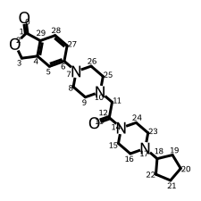 O=C1OCc2cc(N3CCN(CC(=O)N4CCN(C5CCCC5)CC4)CC3)ccc21